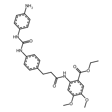 CCOC(=O)c1cc(OC)c(OC)cc1NC(=O)CCc1ccc(NC(=O)Nc2ccc(N)cc2)cc1